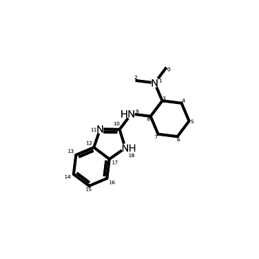 CN(C)C1CCCCC1Nc1nc2ccccc2[nH]1